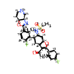 CNC(=O)c1c(-c2ccc(F)cc2)oc2cc(N(C)S(C)(=O)=O)c(-c3cc(-c4nc5cnccc5o4)ccc3F)cc12